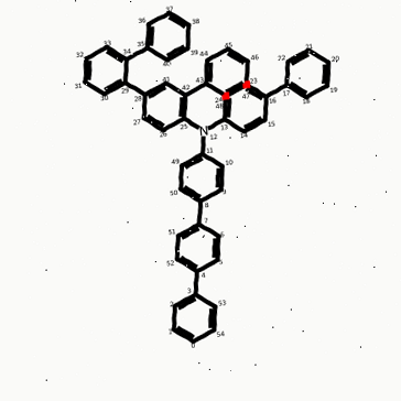 c1ccc(-c2ccc(-c3ccc(N(c4ccc(-c5ccccc5)cc4)c4ccc(-c5ccccc5-c5ccccc5)cc4-c4ccccc4)cc3)cc2)cc1